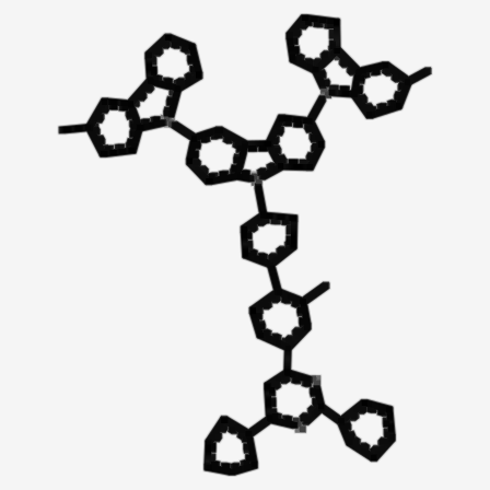 Cc1ccc2c(c1)c1ccccc1n2-c1ccc2c(c1)c1cc(-n3c4ccccc4c4cc(C)ccc43)ccc1n2-c1ccc(-c2ccc(-c3cc(-c4ccccc4)nc(-c4ccccc4)n3)cc2C)cc1